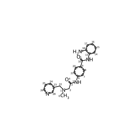 CN(CC(=O)Nc1ccc(C(=O)Nc2ccccc2N)cc1)Cc1cccnc1